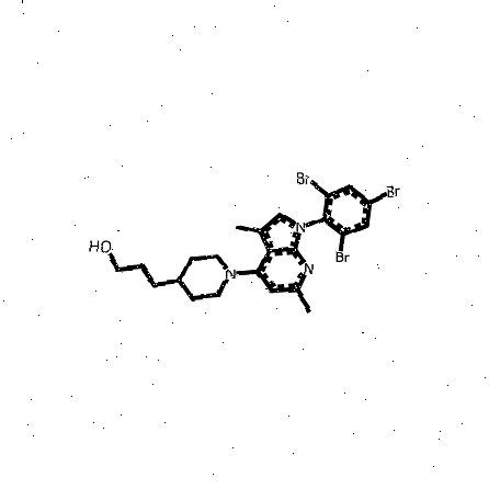 Cc1cc(N2CCC(CCCO)CC2)c2c(C)cn(-c3c(Br)cc(Br)cc3Br)c2n1